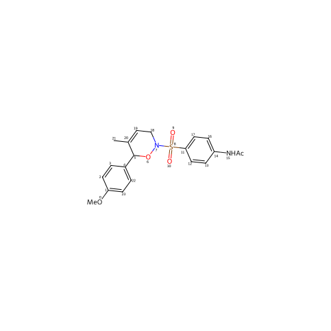 COc1ccc(C2ON(S(=O)(=O)c3ccc(NC(C)=O)cc3)CC=C2C)cc1